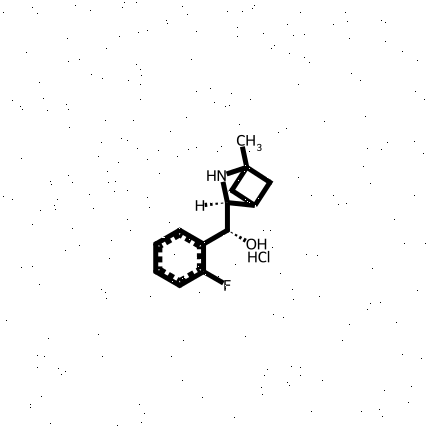 CC12CC(C1)[C@@H]([C@H](O)c1ccccc1F)N2.Cl